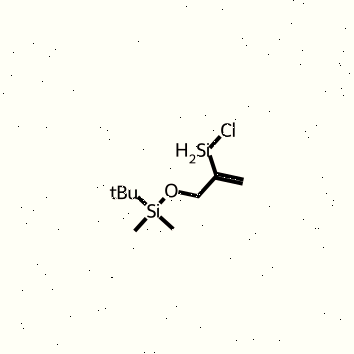 C=C(CO[Si](C)(C)C(C)(C)C)[SiH2]Cl